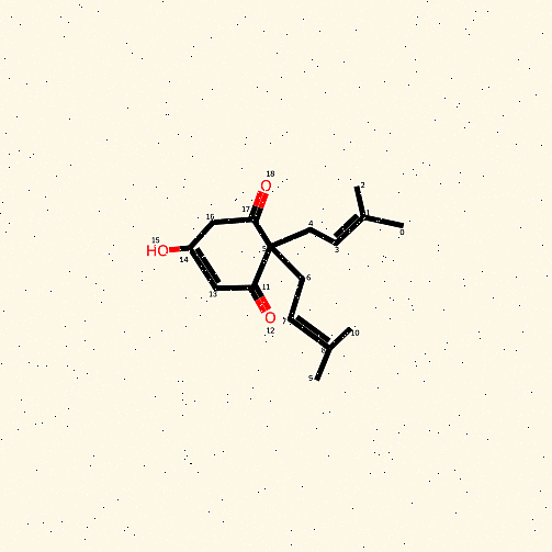 CC(C)=CCC1(CC=C(C)C)C(=O)C=C(O)CC1=O